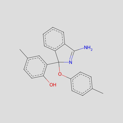 Cc1ccc(OC2(c3cc(C)ccc3O)N=C(N)c3ccccc32)cc1